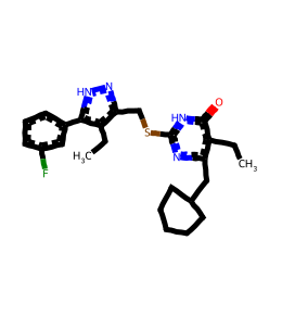 CCc1c(CSc2nc(CC3CCCCC3)c(CC)c(=O)[nH]2)n[nH]c1-c1cccc(F)c1